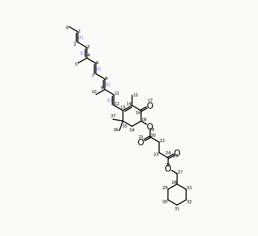 C/C=C/C=C(C)/C=C/C=C(C)/C=C/C1=C(C)C(=O)C(OC(=O)CCC(=O)OCC2CCCCC2)CC1(C)C